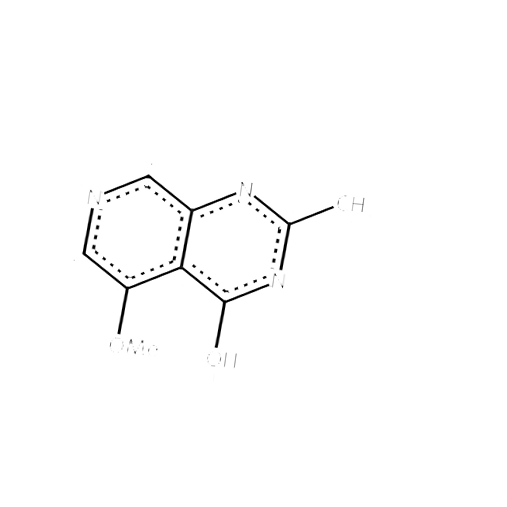 COc1cncc2nc(C)nc(O)c12